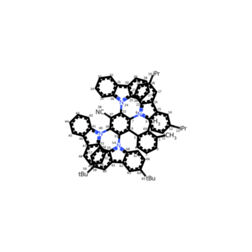 Cc1cccc(-c2c(-n3c4ccc(C(C)C)cc4c4cc(C(C)C)ccc43)c(-n3c4ccccc4c4ccccc43)c(C#N)c(-n3c4ccccc4c4ccccc43)c2-n2c3ccc(C(C)(C)C)cc3c3cc(C(C)(C)C)ccc32)c1C